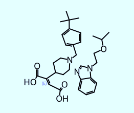 CC(C)(C)c1ccc(CN2CCC(/C(=C\C(=O)O)C(=O)O)CC2)cc1.CC(C)OCCn1cnc2ccccc21